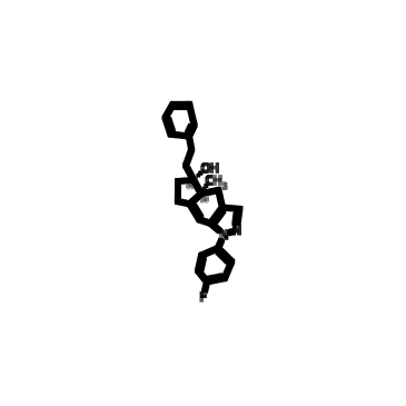 C[C@]12Cc3cnn(-c4ccc(F)cc4)c3C=C1CC[C@@]2(O)CCc1ccccc1